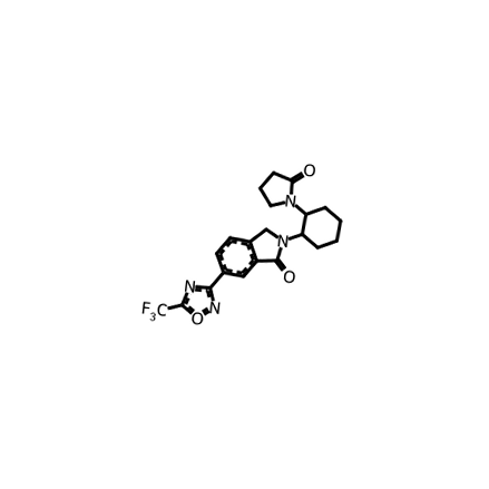 O=C1CCCN1C1CCCCC1N1Cc2ccc(-c3noc(C(F)(F)F)n3)cc2C1=O